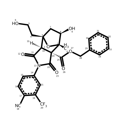 C[C@@]12O[C@@](CCO)(C[C@H]1O)[C@@H]1C(=O)N(c3ccc(C#N)c(C(F)(F)F)c3)C(=O)[C@@]12C(=O)OCc1ccccc1